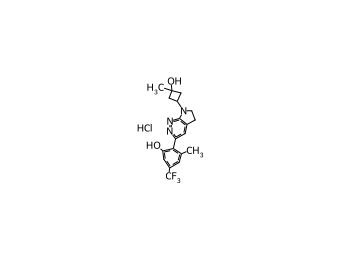 Cc1cc(C(F)(F)F)cc(O)c1-c1cc2c(nn1)N(C1CC(C)(O)C1)CC2.Cl